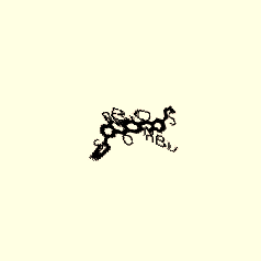 CCCCn1c2ccc(-c3cccs3)cc2c(=O)c2cc3c(cc21)c(=O)c1cc(-c2cccs2)ccc1n3CCCC